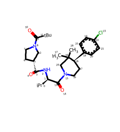 CC(C)[C@@H](NC(=O)[C@@H]1CCN(C(=O)C(C)(C)C)C1)C(=O)N1CC[C@H](c2ccc(Cl)cc2)C(C)(C)C1